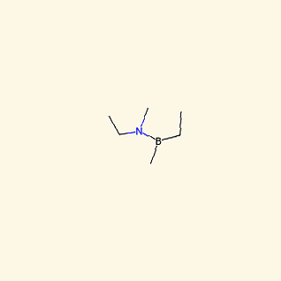 CCB(C)N(C)CC